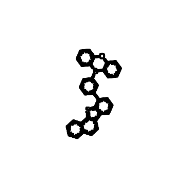 c1cc(B2c3ccccc3Oc3ccccc32)cc(-c2cccc3c2sc2c4ccccc4ccc32)c1